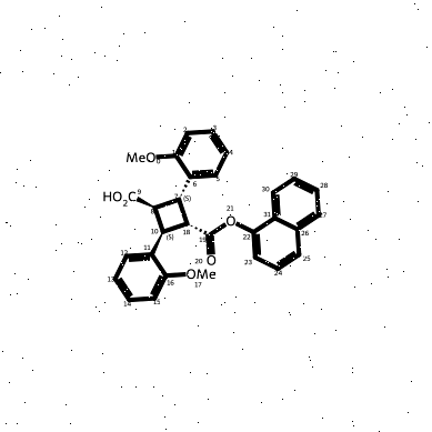 COc1ccccc1[C@H]1[C@H](C(=O)O)[C@H](c2ccccc2OC)[C@H]1C(=O)Oc1cccc2ccccc12